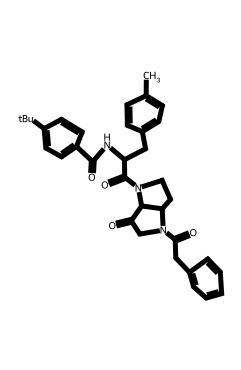 Cc1ccc(CC(NC(=O)c2ccc(C(C)(C)C)cc2)C(=O)N2CCC3C2C(=O)CN3C(=O)Cc2ccccc2)cc1